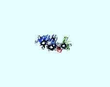 Cc1cc2c(nc(C)n2C)c2c1-c1cccc3c(C(=O)c4cc(F)c(F)c(F)c4)cn(c13)CCN2